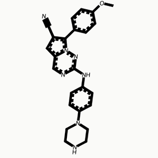 COc1ccc(-c2c(C#N)cc3cnc(Nc4ccc(N5CCNCC5)cc4)nn23)cc1